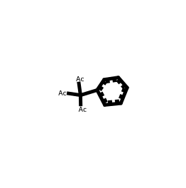 CC(=O)C(C(C)=O)(C(C)=O)c1ccccc1